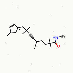 CC(C#CC(C)(C)CC1C=CC(C)C1)CCC(C)(C)C(=O)NC(C)C